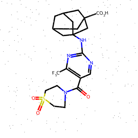 O=C(c1cnc(NC23CC4CC(C2)CC(C(=O)O)(C4)C3)nc1C(F)(F)F)N1CCS(=O)(=O)CC1